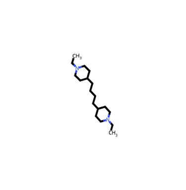 CCN1CCC(CCCCC2CCN(CC)CC2)CC1